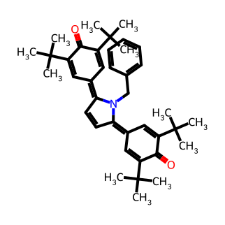 CC(C)(C)C1=CC(=c2ccc(=C3C=C(C(C)(C)C)C(=O)C(C(C)(C)C)=C3)n2Cc2ccccc2)C=C(C(C)(C)C)C1=O